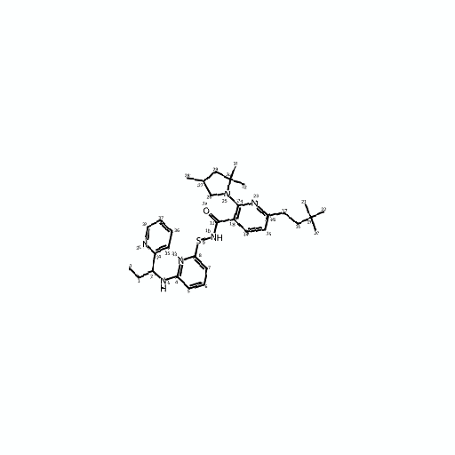 CCC(Nc1cccc(SNC(=O)c2ccc(CCC(C)(C)C)nc2N2CC(C)CC2(C)C)n1)c1ccccn1